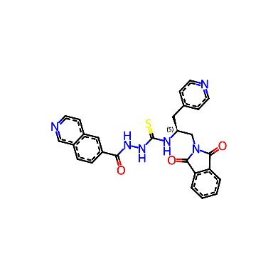 O=C(NNC(=S)N[C@@H](Cc1ccncc1)CN1C(=O)c2ccccc2C1=O)c1ccc2cnccc2c1